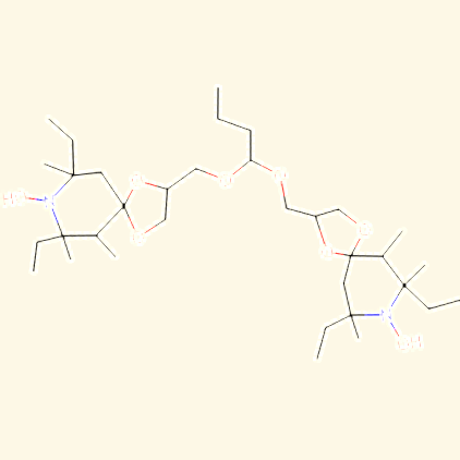 CCCC(OCC1COC2(CC(C)(CC)N(O)C(C)(CC)C2C)O1)OCC1COC2(CC(C)(CC)N(O)C(C)(CC)C2C)O1